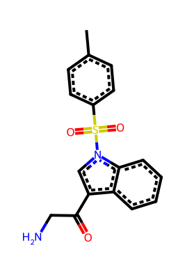 Cc1ccc(S(=O)(=O)n2cc(C(=O)CN)c3ccccc32)cc1